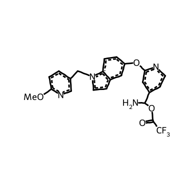 COc1ccc(Cn2ccc3cc(Oc4cc(C(N)OC(=O)C(F)(F)F)ccn4)ccc32)cn1